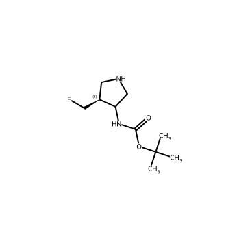 CC(C)(C)OC(=O)NC1CNC[C@@H]1CF